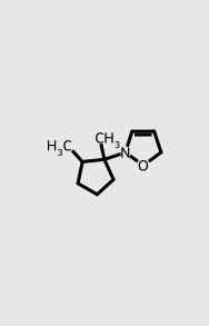 CC1CCCC1(C)N1C=CCO1